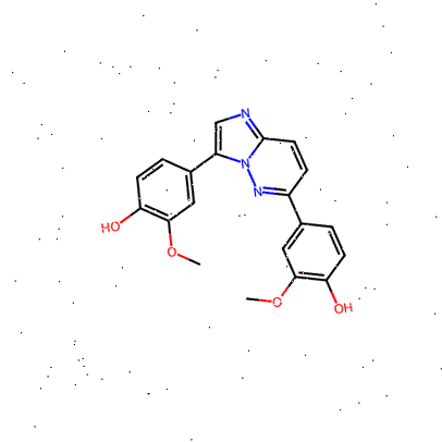 COc1cc(-c2ccc3ncc(-c4ccc(O)c(OC)c4)n3n2)ccc1O